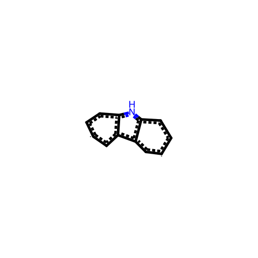 [c]1ccc2[nH]c3cc[c]cc3c2c1